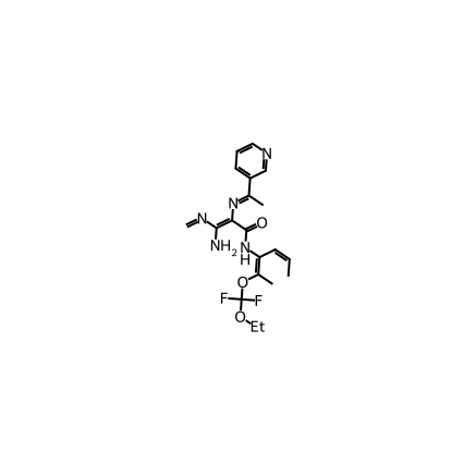 C=N/C(N)=C(\N=C(/C)c1cccnc1)C(=O)NC(/C=C\C)=C(/C)OC(F)(F)OCC